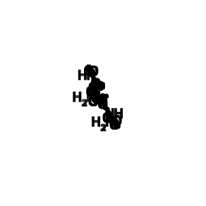 COc1c(C(=O)c2ccccc2OCCCNC(=O)OC(C)(C)C)ccc(C(=O)N(C)c2ccc(C)cc2OCCCCNC(=O)CC(N)C(=O)OC(C)(C)C)c1N